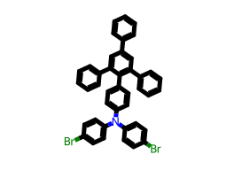 Brc1ccc(N(c2ccc(Br)cc2)c2ccc(-c3c(-c4ccccc4)cc(-c4ccccc4)cc3-c3ccccc3)cc2)cc1